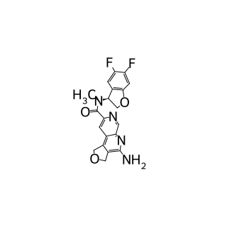 CN(C(=O)c1cc2c3c(c(N)nc2cn1)COC3)[C@@H]1COc2cc(F)c(F)cc21